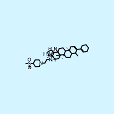 CC1C(C2=CCCCC2)=CC[C@@]2(C)C1CC[C@]1(C)C2CC[C@@]2(N)[C@@]1(C)CC[C@@]1(NCCN3CCC(S(C)(=O)=O)CC3)CCC[C@@]12N